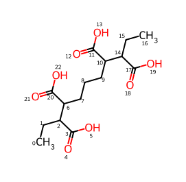 CCC(C(=O)O)C(CCCC(C(=O)O)C(CC)C(=O)O)C(=O)O